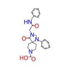 O=C(CN1CN(c2ccccc2)C2(CCN(C(=O)O)CC2)C1=O)Nc1ccccc1